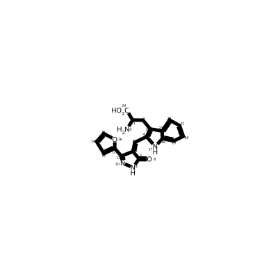 NC(Cc1c(C=C2C(=O)NN=C2c2ccco2)[nH]c2ccccc12)C(=O)O